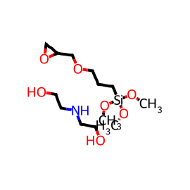 CO[Si](CCCOCC1CO1)(OC)OC.OCCNCCO